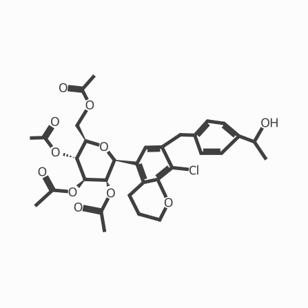 CC(=O)OC[C@H]1O[C@@H](c2cc(Cc3ccc(C(C)O)cc3)c(Cl)c3c2CCCO3)[C@H](OC(C)=O)[C@@H](OC(C)=O)[C@@H]1OC(C)=O